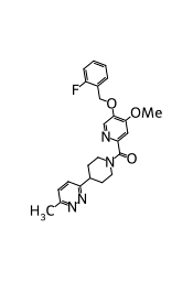 COc1cc(C(=O)N2CCC(c3ccc(C)nn3)CC2)ncc1OCc1ccccc1F